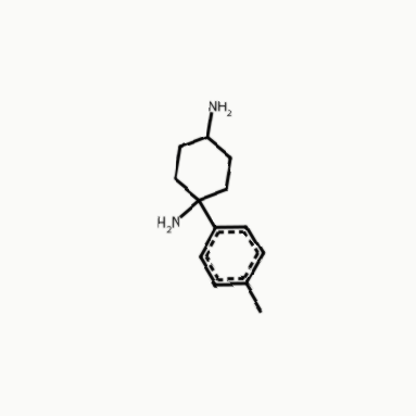 Cc1ccc(C2(N)CCC(N)CC2)cc1